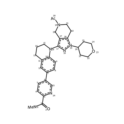 CNC(=O)c1ccc(-c2ccc3c(c2)CCCN3c2nn(C3CCOCC3)c3c2CN(C(C)=O)CC3)cn1